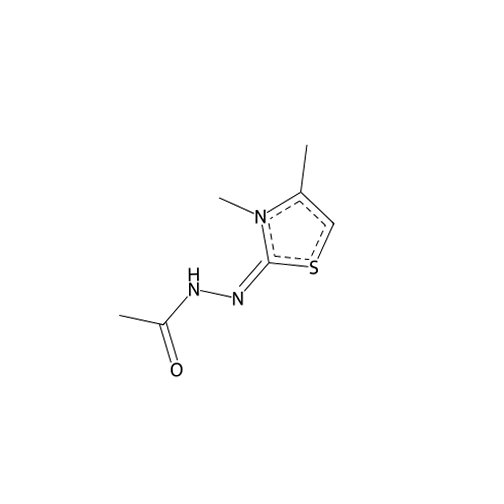 CC(=O)NN=c1scc(C)n1C